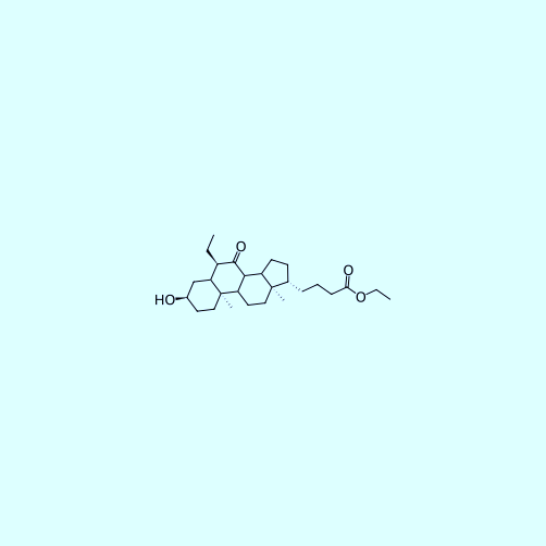 CCOC(=O)CCC[C@H]1CCC2C3C(=O)[C@H](CC)C4C[C@H](O)CC[C@]4(C)C3CC[C@@]21C